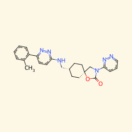 Cc1ccccc1-c1ccc(NC[C@H]2CC[C@]3(CC2)CN(c2cccnn2)C(=O)O3)nn1